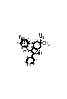 CC1(C)Cc2[nH]c(-c3ccncc3)c(Nc3ccc(F)cc3)c2C(C=O)C1